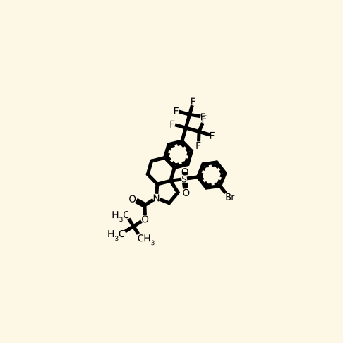 CC(C)(C)OC(=O)N1CCC2(S(=O)(=O)c3cccc(Br)c3)c3ccc(C(F)(C(F)(F)F)C(F)(F)F)cc3CCC12